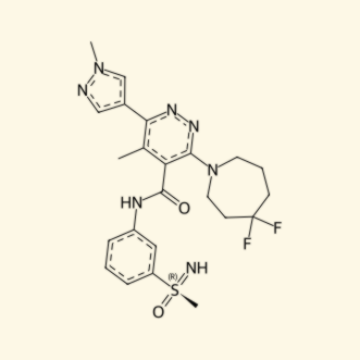 Cc1c(-c2cnn(C)c2)nnc(N2CCCC(F)(F)CC2)c1C(=O)Nc1cccc([S@](C)(=N)=O)c1